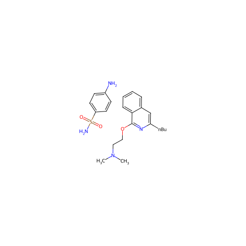 CCCCc1cc2ccccc2c(OCCN(C)C)n1.Nc1ccc(S(N)(=O)=O)cc1